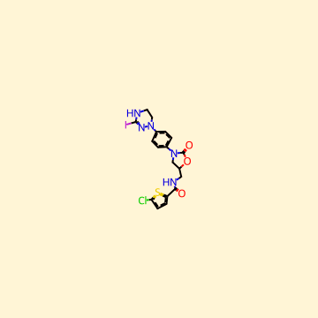 O=C(NCC1CN(c2ccc(N3CCNC(I)=N3)cc2)C(=O)O1)c1ccc(Cl)s1